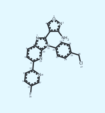 Nc1nocc1-c1nc2ccc(-c3ccc(F)cn3)nc2n1-c1ccc(CCl)cc1